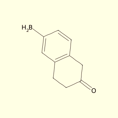 Bc1ccc2c(c1)CCC(=O)C2